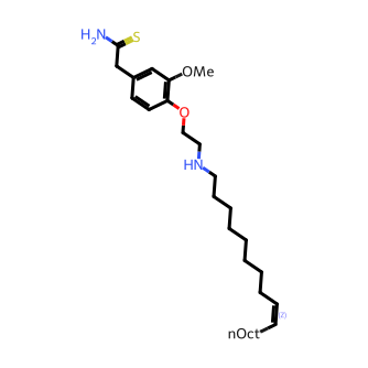 CCCCCCCC/C=C\CCCCCCCCNCCOc1ccc(CC(N)=S)cc1OC